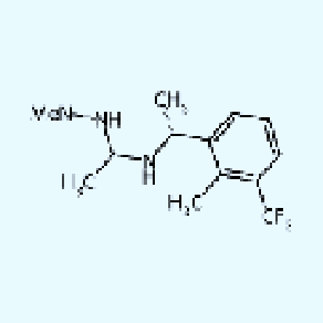 CNNC(C)N[C@H](C)c1cccc(C(F)(F)F)c1C